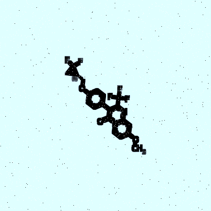 COc1ccn2c(=O)c(-c3ccc(OC[C@@H]4CC4(F)F)cc3)c(C(F)(F)F)nc2c1